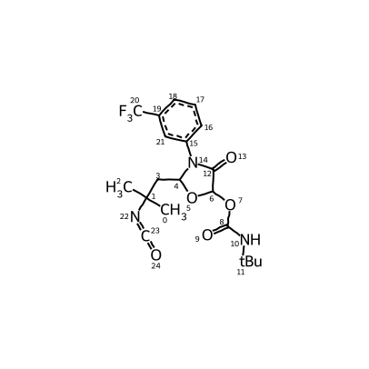 CC(C)(CC1OC(OC(=O)NC(C)(C)C)C(=O)N1c1cccc(C(F)(F)F)c1)N=C=O